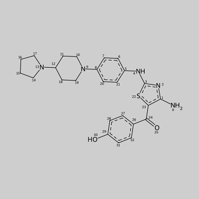 Nc1nc(Nc2ccc(N3CCC(N4CCCC4)CC3)cc2)sc1C(=O)c1ccc(O)cc1